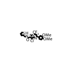 COc1ccc(-c2cc(C(F)(F)F)n3nc(C(=O)NCc4cccs4)c(Cl)c3n2)cc1OC